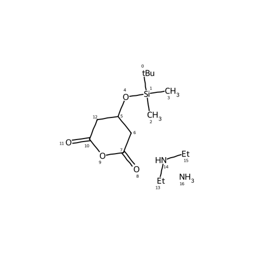 CC(C)(C)[Si](C)(C)OC1CC(=O)OC(=O)C1.CCNCC.N